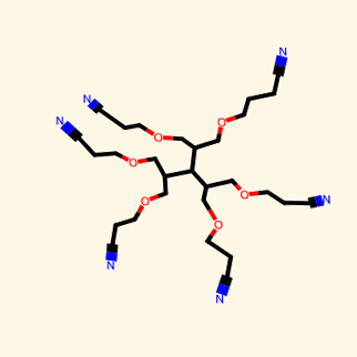 N#CCCCOCC(COCCC#N)C(C(COCCC#N)COCCC#N)C(COCCC#N)COCCC#N